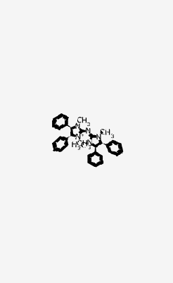 CN1C(=NC2=[N+](C)[C@H](c3ccccc3)[C@@H](c3ccccc3)N2C)N(C)[C@H](c2ccccc2)[C@H]1c1ccccc1